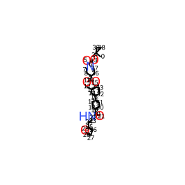 CC1(COC(=O)N2CCC(C3OCc4cc(-c5ccc(C(=O)NCCc6ccco6)cc5)ccc4O3)CC2)CC1